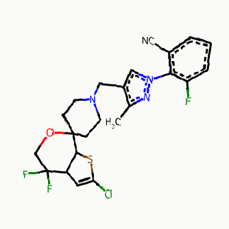 Cc1nn(-c2c(F)cccc2C#N)cc1CN1CCC2(CC1)OCC(F)(F)C1C=C(Cl)SC12